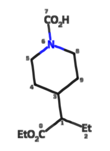 CCOC(=O)C(CC)C1CCN(C(=O)O)CC1